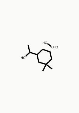 CC(O)C1CCCC(C)(C)C1.O=CO